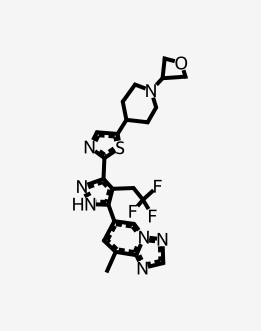 Cc1cc(-c2[nH]nc(-c3ncc(C4CCN(C5COC5)CC4)s3)c2CC(F)(F)F)cn2ncnc12